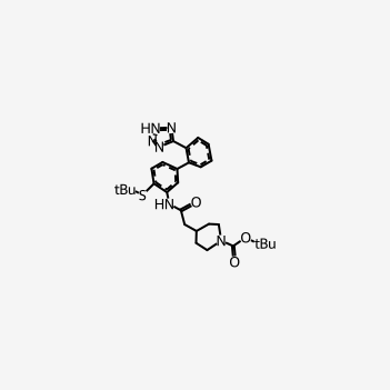 CC(C)(C)OC(=O)N1CCC(CC(=O)Nc2cc(-c3ccccc3-c3nn[nH]n3)ccc2SC(C)(C)C)CC1